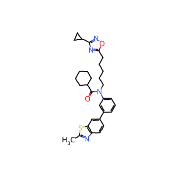 Cc1nc2ccc(-c3cccc(N(CCCCCc4nc(C5CC5)no4)C(=O)C4CCCCC4)c3)cc2s1